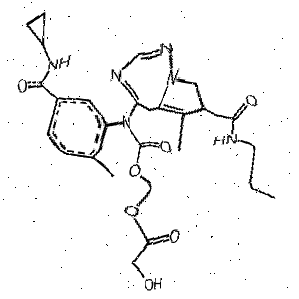 CCCNC(=O)C1CN2N=CN=C(N(C(=O)OCOC(=O)CO)c3cc(C(=O)NC4CC4)ccc3C)C2=C1C